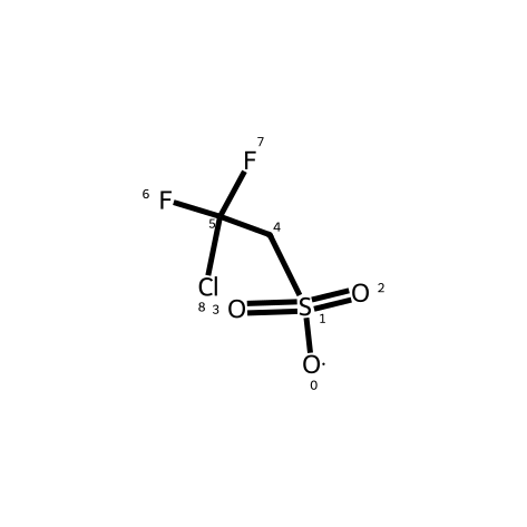 [O]S(=O)(=O)CC(F)(F)Cl